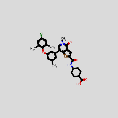 Cc1cc(Oc2c(C)cc(Cl)cc2C)cc(-c2cn(C)c(=O)c3cc(C(=O)NC4CCC(C(=O)O)CC4)sc23)c1